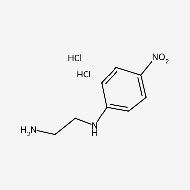 Cl.Cl.NCCNc1ccc([N+](=O)[O-])cc1